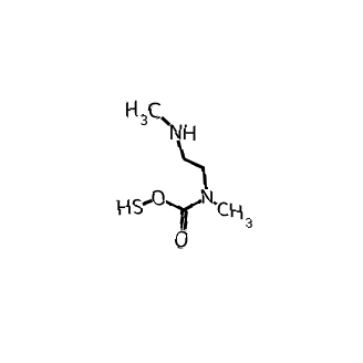 CNCCN(C)C(=O)OS